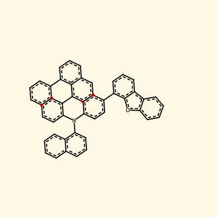 c1ccc(-c2cccc3cccc(-c4ccccc4N(c4ccc(-c5cccc6c5oc5ccccc56)cc4)c4cccc5ccccc45)c23)cc1